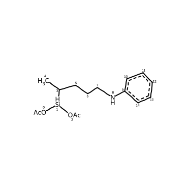 CC(=O)O[SiH](OC(C)=O)C(C)CCCNc1ccccc1